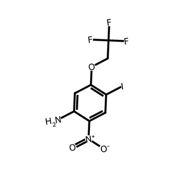 Nc1cc(OCC(F)(F)F)c(I)cc1[N+](=O)[O-]